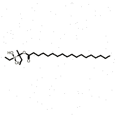 CCCCCCCCCCCCCCCCCC(=O)OC(C)(CC)[N+](O)(O)CC